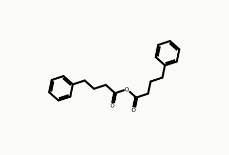 O=C(CCCc1ccccc1)OC(=O)CCCc1ccccc1